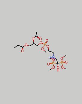 CCC(=O)OCC(COP(=O)(OC)OCCNCC(O)(P(=O)(OC)OC)P(=O)(OC)OC)OC(C)=O